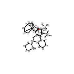 C[Si](C)(C)c1cc(CP(C2CCCCN2)C2CCCCN2)c(C23CC4CC(CC(C4)C2CP)C3)cc1[Si](C)(C)C